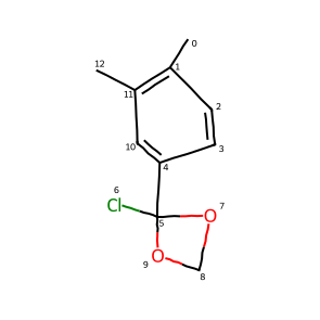 Cc1ccc(C2(Cl)OCO2)cc1C